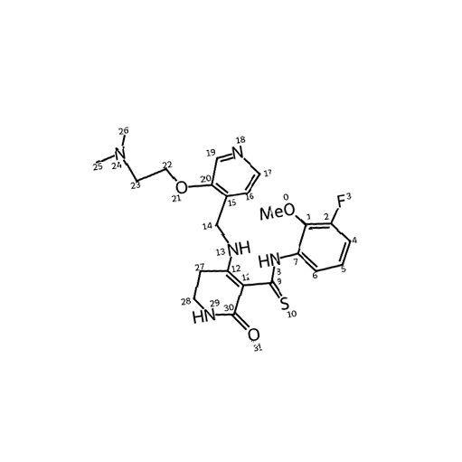 COc1c(F)cccc1NC(=S)C1=C(NCc2ccncc2OCCN(C)C)CCNC1=O